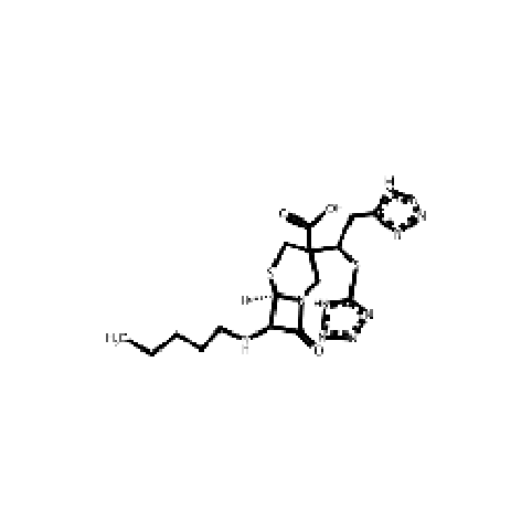 CCCCCNC1C(=O)N2CC(C(=O)O)(C(Cc3nnn[nH]3)Sc3nnn[nH]3)CS[C@H]12